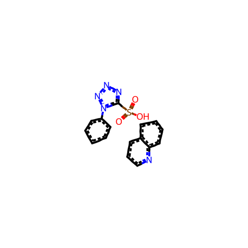 O=S(=O)(O)c1nnnn1-c1ccccc1.c1ccc2ncccc2c1